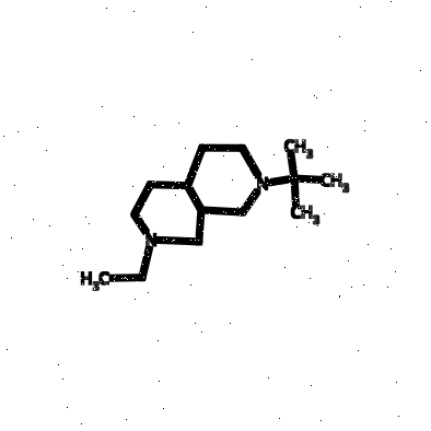 CCN1CCC2CCN(C(C)(C)C)CC2C1